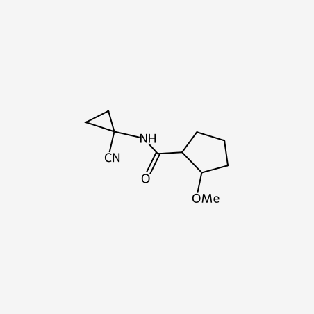 COC1CCCC1C(=O)NC1(C#N)CC1